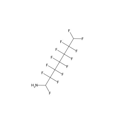 NC(F)C(F)(F)C(F)(F)C(F)(F)C(F)(F)C(F)(F)C(F)F